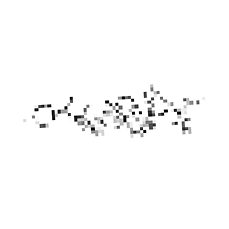 CCO[C@@H]([C@H]1C[C@@H](C)[C@H]2[C@H](O1)[C@H](O)[C@@]1(C)[C@@H]3CC[C@H]4C(C)(C)[C@@H](OC(=O)N5CCN(C)CC5)CC[C@@]45C[C@@]35CC[C@]21C)C(C)(C)O